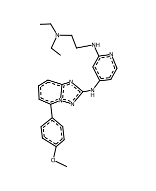 CCN(CC)CCNc1cc(Nc2nc3cccc(-c4ccc(OC)cc4)n3n2)ccn1